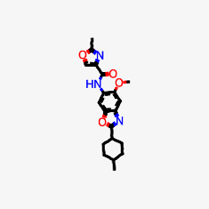 COc1cc2nc(C3CCC(C)CC3)oc2cc1NC(=O)c1coc(C)n1